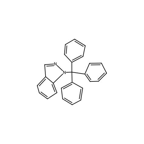 c1ccc(C(c2ccccc2)(c2ccccc2)n2ncc3ccccc32)cc1